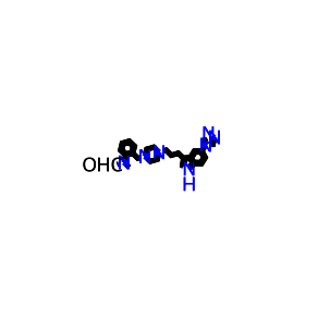 CN(C=O)c1ccccc1CN1CCN(CCCc2c[nH]c3ccc(-n4cnnc4)cc23)CC1